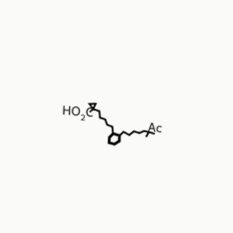 CC(=O)C(C)(C)CCCCCc1ccccc1CCCCCC1(C(=O)O)CC1